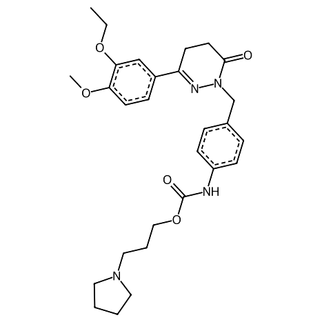 CCOc1cc(C2=NN(Cc3ccc(NC(=O)OCCCN4CCCC4)cc3)C(=O)CC2)ccc1OC